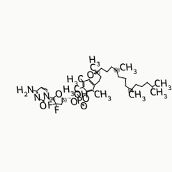 Cc1c(C)c2c(c(C)c1OP(=O)(O)OC[C@@H]1CC(F)(F)[C@H](n3ccc(N)nc3=O)O1)CC[C@@](C)(CCC[C@H](C)CCC[C@H](C)CCCC(C)C)O2